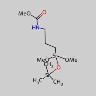 COC(=O)NCCC[Si](OC)(OC)O[Si](C)(C)C